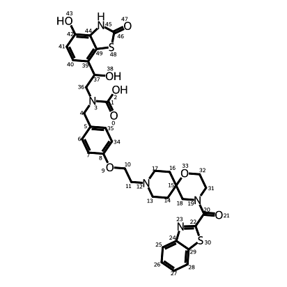 O=C(O)N(Cc1ccc(OCCN2CCC3(CC2)CN(C(=O)c2nc4ccccc4s2)CCO3)cc1)CC(O)c1ccc(O)c2[nH]c(=O)sc12